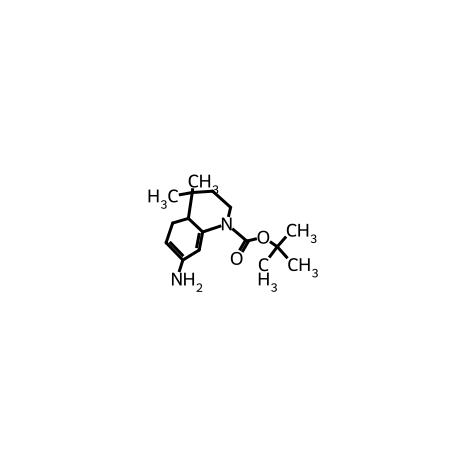 CC(C)(C)OC(=O)N1CCC(C)(C)C2CC=C(N)C=C21